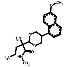 CCCC(N)(C(=O)NC)C1OCC(c2cccc3cc(OC)ccc23)CO1